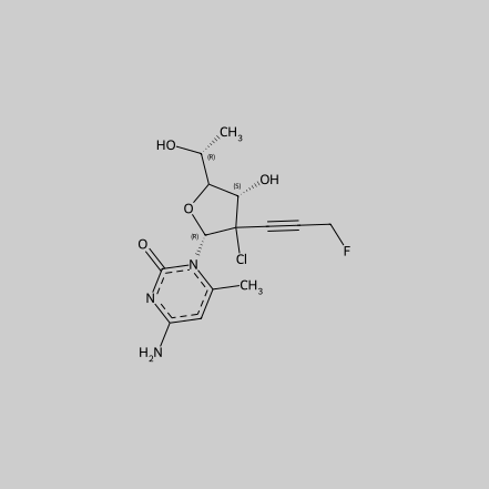 Cc1cc(N)nc(=O)n1[C@@H]1OC([C@@H](C)O)[C@H](O)C1(Cl)C#CCF